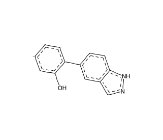 Oc1c[c]ccc1-c1ccc2[nH]ncc2c1